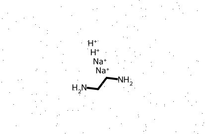 NCCN.[H+].[H+].[Na+].[Na+]